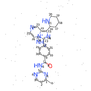 Cc1ccnc(NC(=O)c2ccc(C3=NC(C4CCCCN4)=C4C=NC=C[N+]34N)cc2)n1